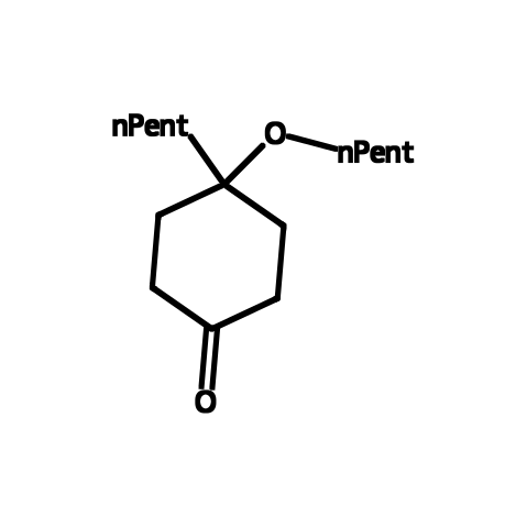 CCCCCOC1(CCCCC)CCC(=O)CC1